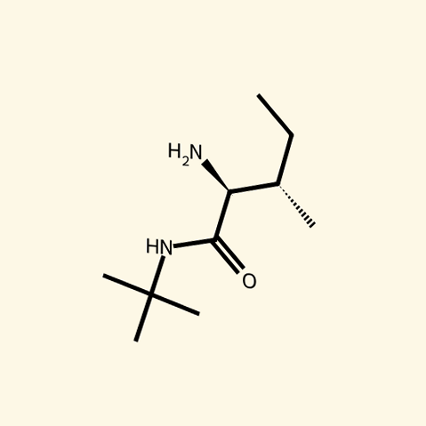 CC[C@H](C)[C@H](N)C(=O)NC(C)(C)C